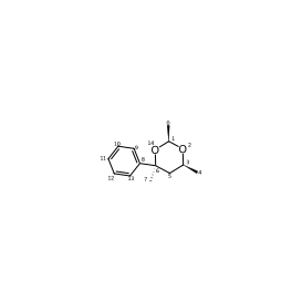 C[C@H]1O[C@@H](C)C[C@@](C)(c2ccccc2)O1